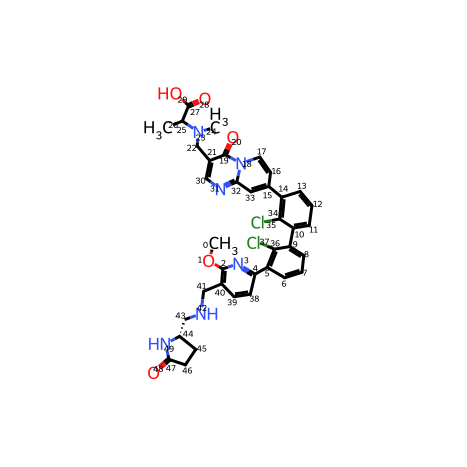 COc1nc(-c2cccc(-c3cccc(-c4ccn5c(=O)c(CN(C)C(C)C(=O)O)cnc5c4)c3Cl)c2Cl)ccc1CNC[C@@H]1CCC(=O)N1